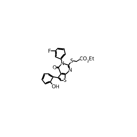 CCOC(=O)CSc1nc2scc(-c3ccccc3O)c2c(=O)n1-c1cccc(F)c1